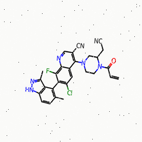 C=CC(=O)N1CCN(c2c(C#N)cnc3c(F)c(-c4c(C)ccc5[nH]nc(C)c45)c(Cl)cc23)CC1CC#N